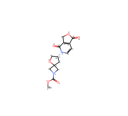 CC(C)(C)OC(=O)N1CC2(C[C@@H](n3ccc4c(c3=O)COC4=O)CO2)C1